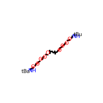 CC(C)(CCOCCOCCOCCOCCNC(C)(C)C)CCC(C)(C)OCCOCCOCCOCCOCCNC(C)(C)C